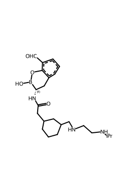 CC(C)NCCNCC1CCCC(CC(=O)N[C@H]2Cc3cccc(C=O)c3OB2O)C1